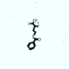 O=C(SCCC(F)C(F)C(F)(F)F)c1ccccc1